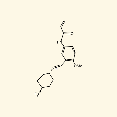 C=CC(=O)Nc1cnc(OC)c(/C=C/[C@H]2CC[C@H](C(F)(F)F)CC2)c1